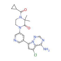 CC1(C)C(=O)N(c2cncc(-c3cc(Cl)c4c(N)ncnn34)c2)CCN1C(=O)C1CC1